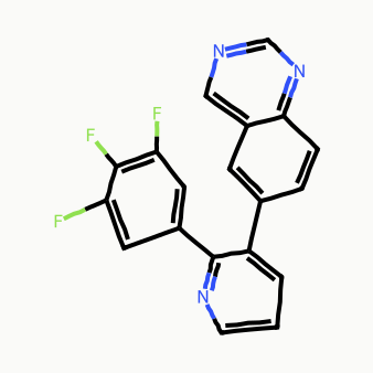 Fc1cc(-c2ncccc2-c2ccc3ncncc3c2)cc(F)c1F